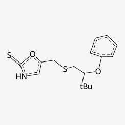 CC(C)(C)C(CSCc1c[nH]c(=S)o1)Oc1ccccc1